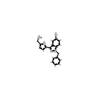 OCc1ccc(-c2nn(Cc3ccccc3)c3ccc(Cl)cc23)o1